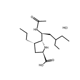 CCC[C@H]1C[C@H](C(=O)O)N[C@H]1[C@H](CC(CC)CC)NC(C)=O.Cl